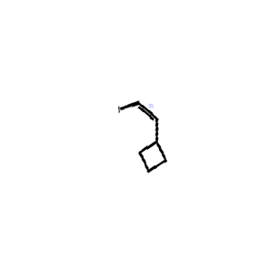 I/C=C\C1CCC1